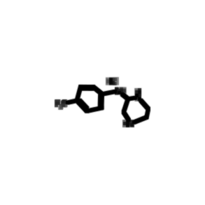 Cl.FC(F)(F)c1ccc(NC2CNCCN2)cc1